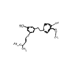 COc1cc(CCc2cc(O)cc(O/C=C/C(C)C)c2)ccc1O